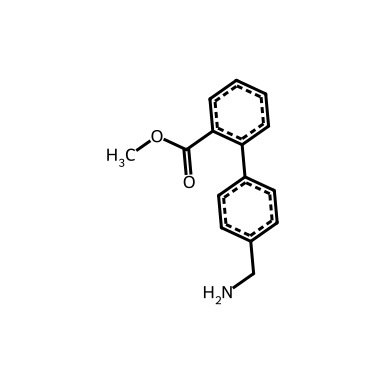 COC(=O)c1ccccc1-c1ccc(CN)cc1